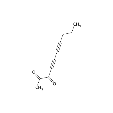 CCCC#CC#CC(=O)C(C)=O